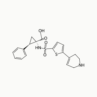 O=C(O)[C@]1(NS(=O)(=O)c2ccc(C3=CCNCC3)s2)C[C@@H]1c1ccccc1